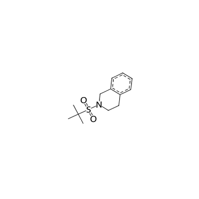 CC(C)(C)S(=O)(=O)N1CCc2ccccc2C1